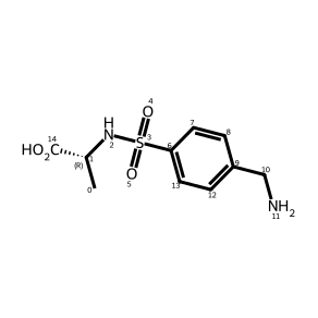 C[C@@H](NS(=O)(=O)c1ccc(CN)cc1)C(=O)O